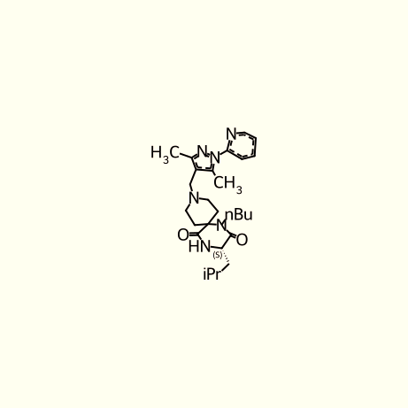 CCCCN1C(=O)[C@H](CC(C)C)NC(=O)C12CCN(Cc1c(C)nn(-c3ccccn3)c1C)CC2